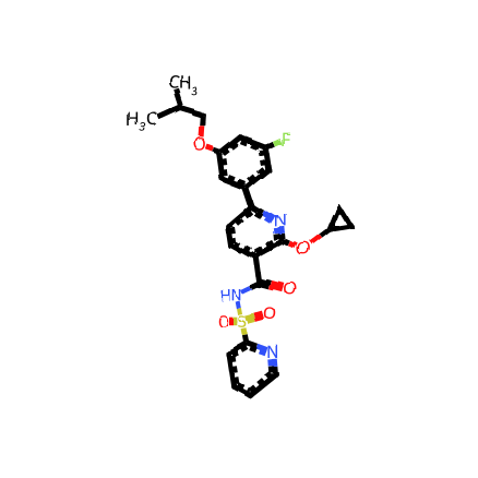 CC(C)COc1cc(F)cc(-c2ccc(C(=O)NS(=O)(=O)c3ccccn3)c(OC3CC3)n2)c1